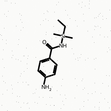 CC[Si](C)(C)NC(=O)c1ccc(N)cc1